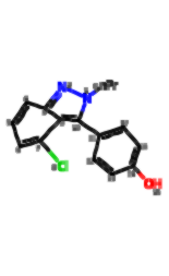 CCCn1nc2cccc(Cl)c2c1-c1ccc(O)cc1